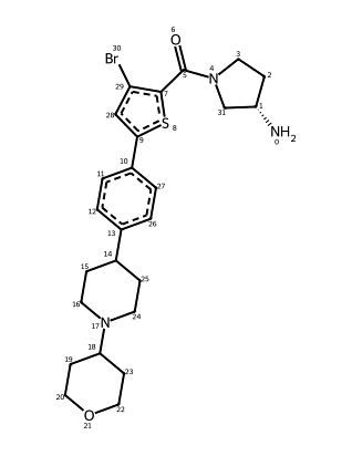 N[C@H]1CCN(C(=O)c2sc(-c3ccc(C4CCN(C5CCOCC5)CC4)cc3)cc2Br)C1